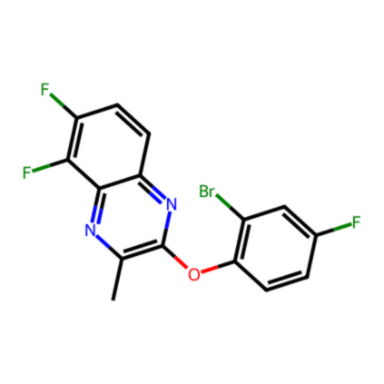 Cc1nc2c(F)c(F)ccc2nc1Oc1ccc(F)cc1Br